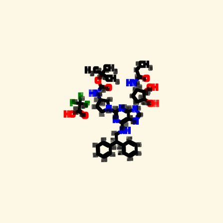 CCC(=O)N[C@H]1C[C@@H](n2cnc3c(NCC(c4ccccc4)c4ccccc4)nc(N4CC[C@@H](NC(=O)OC(C)(C)C)C4)nc32)[C@H](O)[C@@H]1O.O=C(O)C(F)(F)F